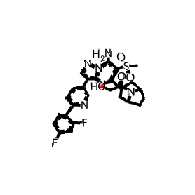 CS(=O)(=O)c1c(C2CC3CCC(C2)N3C(=O)CO)nc2c(-c3ccc(-c4ccc(F)cc4F)nc3)cnn2c1N